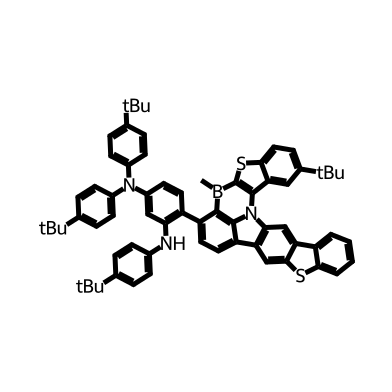 CB1c2sc3ccc(C(C)(C)C)cc3c2-n2c3cc4c(cc3c3ccc(-c5ccc(N(c6ccc(C(C)(C)C)cc6)c6ccc(C(C)(C)C)cc6)cc5Nc5ccc(C(C)(C)C)cc5)c1c32)sc1ccccc14